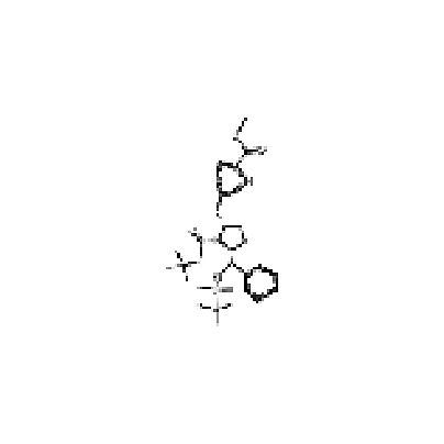 COC(=O)c1ccc(C[C@@H]2CC[C@H](C(O[Si](C)(C)C(C)(C)C)c3ccccc3)N2C(=O)OC(C)(C)C)cn1